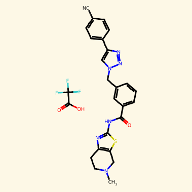 CN1CCc2nc(NC(=O)c3cccc(Cn4cc(-c5ccc(C#N)cc5)nn4)c3)sc2C1.O=C(O)C(F)(F)F